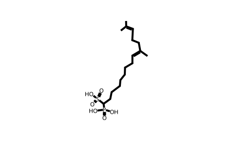 CC(C)=CCCC(C)=CCCCCCCCC(P(=O)(O)O)S(=O)(=O)O